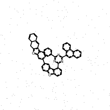 C1=CC2=Cc3c(oc4cc(-c5ccc6oc7cccc(-c8nc(-c9ccccc9)nc(-c9cc%10ccccc%10c%10ccccc9%10)n8)c7c6c5)ccc34)CC2C=C1